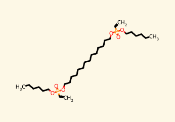 C=CP(=O)(OCCCCCC)OCCCCCCCCCCCCCCOP(=O)(C=C)OCCCCCC